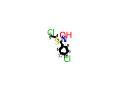 ON=C(SCCCl)c1ccc(Cl)cc1